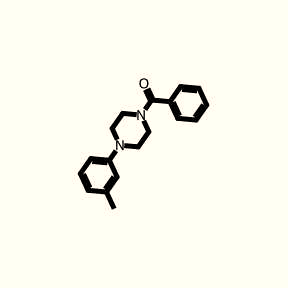 Cc1cccc(N2CCN(C(=O)c3ccccc3)CC2)c1